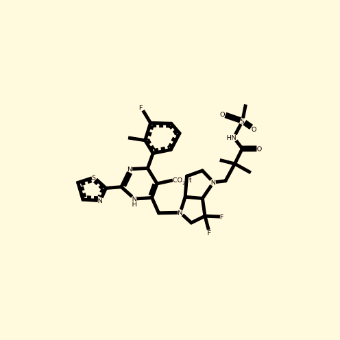 CCOC(=O)C1=C(CN2CC(F)(F)C3C2CCN3CC(C)(C)C(=O)NS(C)(=O)=O)NC(c2nccs2)=NC1c1cccc(F)c1C